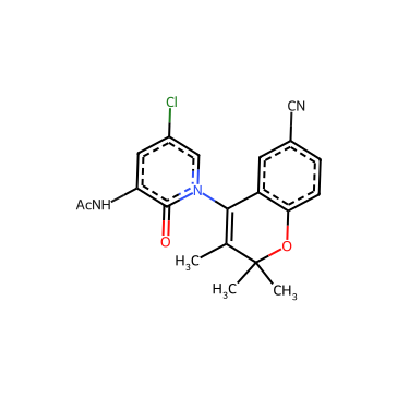 CC(=O)Nc1cc(Cl)cn(C2=C(C)C(C)(C)Oc3ccc(C#N)cc32)c1=O